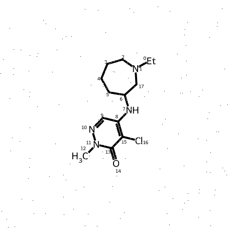 CCN1CCCCC(Nc2cnn(C)c(=O)c2Cl)C1